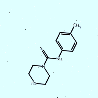 Cc1ccc(NC(=S)N2CCNCC2)cc1